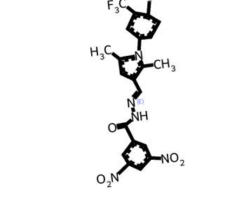 Cc1cc(/C=N/NC(=O)c2cc([N+](=O)[O-])cc([N+](=O)[O-])c2)c(C)n1-c1ccc(Cl)c(C(F)(F)F)c1